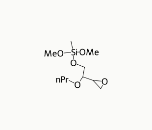 CCCOC(CO[Si](C)(OC)OC)C1CO1